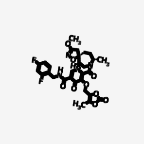 COC1=NO[C@@]2(CC[C@H](C)N3C[C@H]2n2cc(C(=O)NCc4ccc(F)cc4F)c(=O)c(OCc4oc(=O)oc4C)c2C3=O)C1